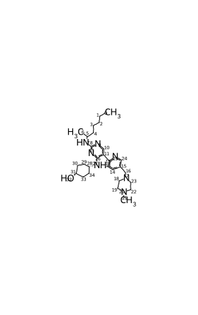 CCCCCC(C)Nc1ncc(-c2ccc(CN3CCN(C)CC3)cn2)c(N[C@H]2CC[C@H](O)CC2)n1